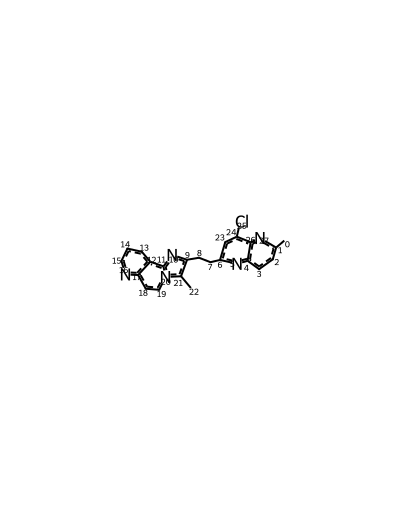 Cc1ccc2nc(CCc3nc4c5cccnc5ccn4c3C)cc(Cl)c2n1